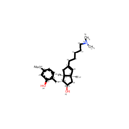 COc1ccc(C[C@@H]2[C@H]3CC(CCCCCN(C)C)=C[C@H]3C[C@H]2O)c(O)c1